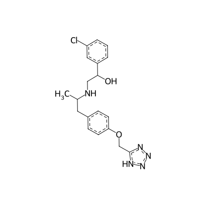 CC(Cc1ccc(OCc2nnn[nH]2)cc1)NCC(O)c1cccc(Cl)c1